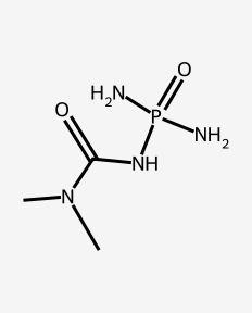 CN(C)C(=O)NP(N)(N)=O